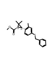 COC(=O)[C@@H]1[C@@H](c2ccc(SCc3ccccc3)cc2C)C1(C)C